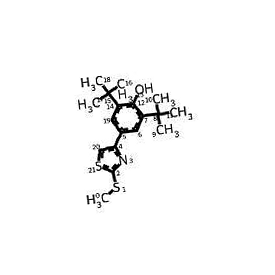 CSc1nc(-c2cc(C(C)(C)C)c(O)c(C(C)(C)C)c2)cs1